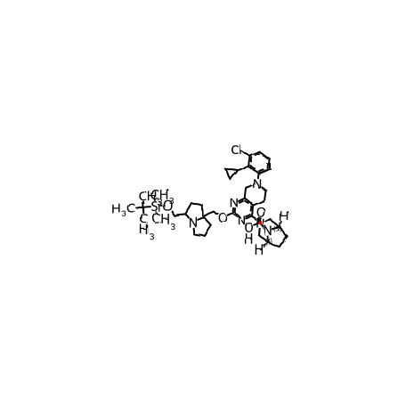 CC(C)(C)[Si](C)(C)OCC1CCC2(COc3nc4c(c(N5C[C@H]6CC[C@@H](C5)N6C(=O)O)n3)CCN(c3cccc(Cl)c3C3CC3)C4)CCCN12